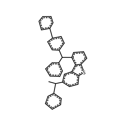 CC(c1ccccc1)c1ccc2sc3cccc(C(c4ccccc4)c4ccc(-c5ccccc5)cc4)c3c2c1